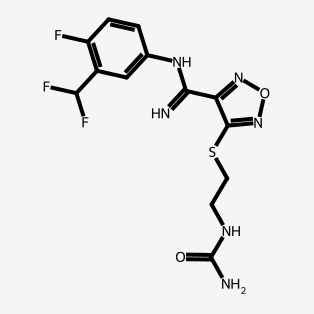 N=C(Nc1ccc(F)c(C(F)F)c1)c1nonc1SCCNC(N)=O